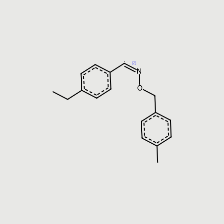 CCc1ccc(/[C]=N\OCc2ccc(C)cc2)cc1